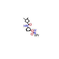 CCCNC(=O)Oc1cccc(NC(=O)C2CC(C)C(C)C2)c1